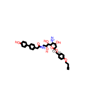 C#CCCOc1ccc(CO[C@]2(C(=O)O)C[C@H](O)[C@@H](N)[C@H]([C@H](O)[C@H](O)CNC(=O)Cc3ccc(-c4ccc(O)cc4)cc3)O2)cc1